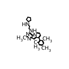 Cc1cc(C)c(-c2cccn3c2cc2nc(C)nc(NCCNC4CCCC4)c23)c(C)c1